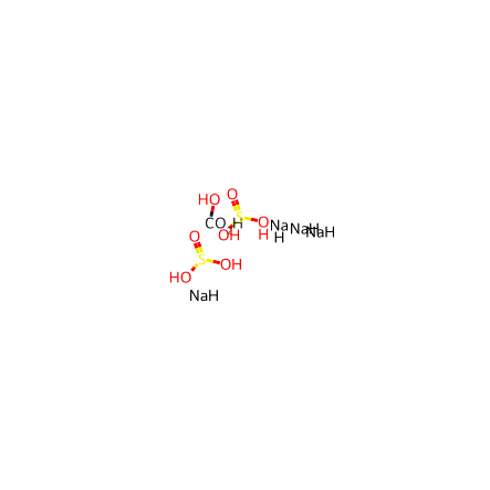 O=C(O)O.O=S(O)O.O=S(O)O.[NaH].[NaH].[NaH].[NaH]